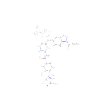 CNC(=O)n1ccc2cc(N(CCC(C)(C)O)c3ccnc(NC(=O)c4ccc(CN5[C@H]6CC[C@H]5CC6)cc4)c3)ccc21